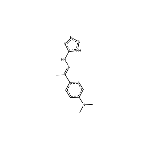 C/C(=N\Nc1nnn[nH]1)c1ccc(N(C)C)cc1